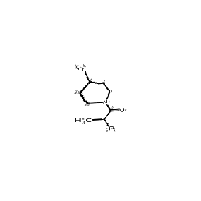 CC(C)C1CCN(C(=O)C(C)C(C)C)CC1